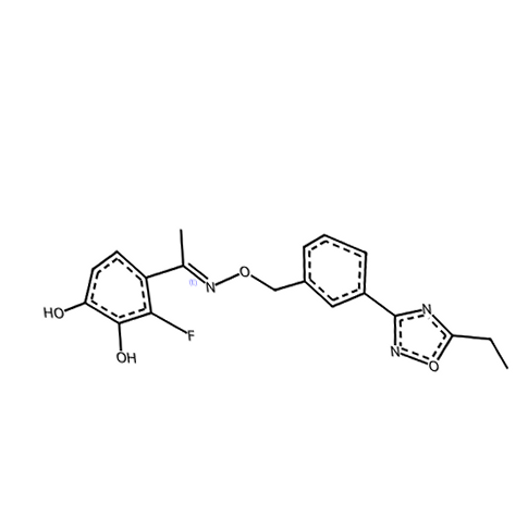 CCc1nc(-c2cccc(CO/N=C(\C)c3ccc(O)c(O)c3F)c2)no1